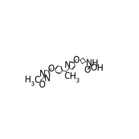 CC(=O)c1ncc(Oc2ccc(C(C)c3ccc(O[C@H]4C[C@H](NC(=O)O)C4)cn3)cc2)cn1